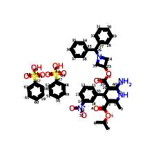 CC1=C(C(=O)OC(C)C)C(c2cccc([N+](=O)[O-])c2)C(C(=O)OC2CN(C(c3ccccc3)c3ccccc3)C2)=C(N)N1.O=S(=O)(O)c1ccccc1.O=S(=O)(O)c1ccccc1